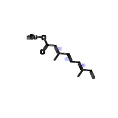 C=C/C(C)=C/C=C/C(C)=C/C(=O)OCCCC